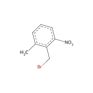 [CH2]c1cccc([N+](=O)[O-])c1CBr